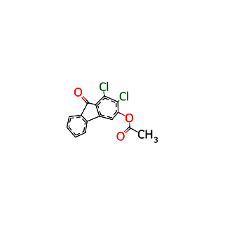 CC(=O)Oc1cc2c(c(Cl)c1Cl)C(=O)c1ccccc1-2